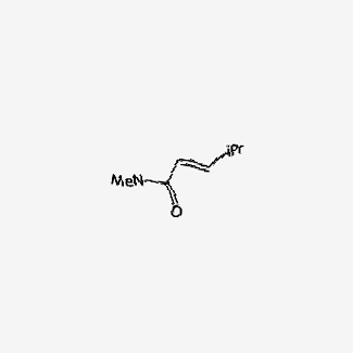 CNC(=O)/C=C/C(C)C